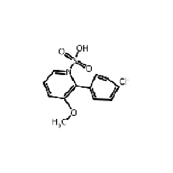 COc1ccc[n+](S(=O)(=O)O)c1-c1ccccc1.[Cl-]